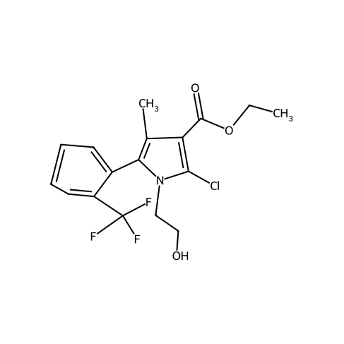 CCOC(=O)c1c(C)c(-c2ccccc2C(F)(F)F)n(CCO)c1Cl